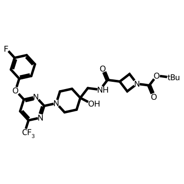 CC(C)(C)OC(=O)N1CC(C(=O)NCC2(O)CCN(c3nc(Oc4cccc(F)c4)cc(C(F)(F)F)n3)CC2)C1